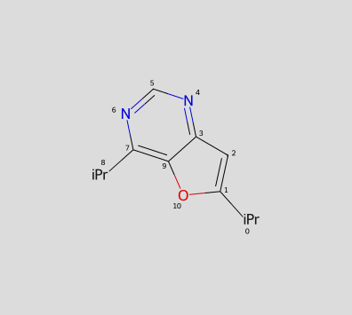 CC(C)c1cc2ncnc(C(C)C)c2o1